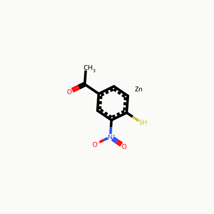 CC(=O)c1ccc(S)c([N+](=O)[O-])c1.[Zn]